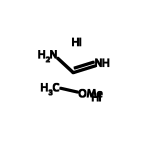 COC.I.I.N=CN